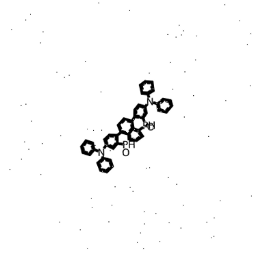 O=[PH]1c2cc(N(c3ccccc3)c3ccccc3)ccc2-c2ccc3c4c(ccc1c24)[PH](=O)c1cc(N(c2ccccc2)c2ccccc2)ccc1-3